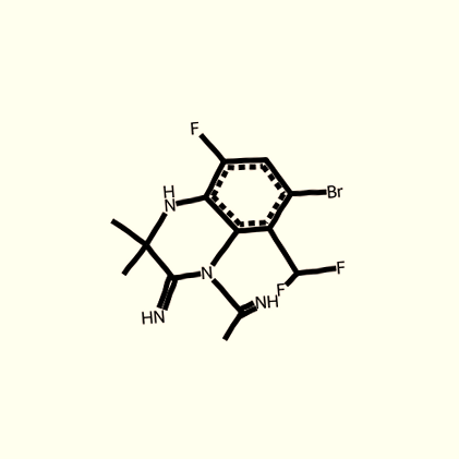 CC(=N)N1C(=N)C(C)(C)Nc2c(F)cc(Br)c(C(F)F)c21